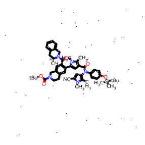 Cc1c(N(C(=O)c2cc(-c3cc4c(cc3C(=O)N3Cc5ccccc5C[C@H]3C)CN(C(=O)OC(C)(C)C)CC4)n(C)c2C)c2ccc(O[Si](C)(C)C(C)(C)C)cc2)cc(C#N)n1C